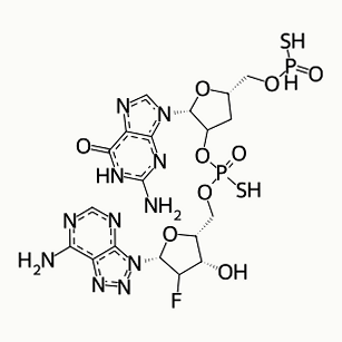 Nc1nc2c(ncn2[C@@H]2O[C@H](CO[PH](=O)S)CC2OP(=O)(S)OC[C@H]2O[C@@H](n3nnc4c(N)ncnc43)C(F)[C@H]2O)c(=O)[nH]1